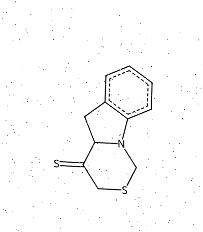 S=C1CSCN2c3ccccc3CC12